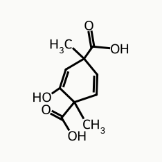 CC1(C(=O)O)C=CC(C)(C(=O)O)C(O)=C1